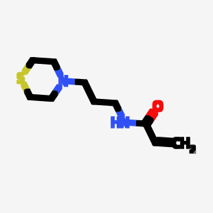 C=CC(=O)NCCCN1CCSCC1